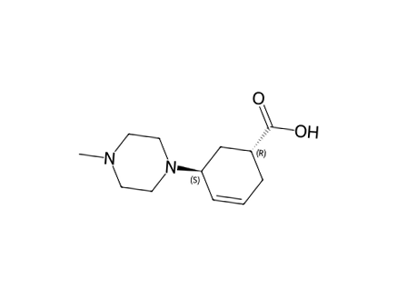 CN1CCN([C@@H]2C=CC[C@@H](C(=O)O)C2)CC1